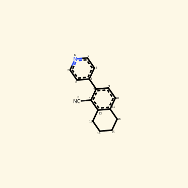 N#Cc1c(-c2ccncc2)ccc2c1CCCC2